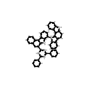 c1ccc(-c2nc(-c3ccccc3)nc(-c3cc4ccccc4c4c3oc3c(-n5c6ccccc6c6ccc7sc8ccccc8c7c65)cccc34)n2)cc1